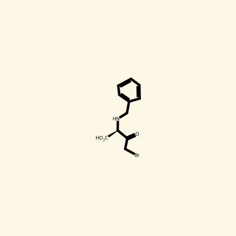 O=C(O)[C@@H](NCc1ccccc1)C(=O)CBr